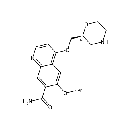 CC(C)Oc1cc2c(OC[C@@H]3CNCCO3)ccnc2cc1C(N)=O